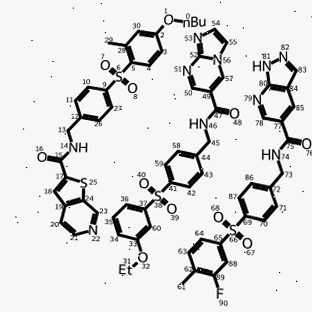 CCCCOc1ccc(S(=O)(=O)c2ccc(CNC(=O)c3cc4ccncc4s3)cc2)c(C)c1.CCOc1cccc(S(=O)(=O)c2ccc(CNC(=O)c3cnc4nccn4c3)cc2)c1.Cc1ccc(S(=O)(=O)c2ccc(CNC(=O)c3cnc4[nH]ncc4c3)cc2)cc1F